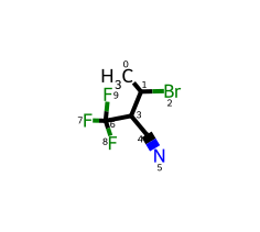 CC(Br)C(C#N)C(F)(F)F